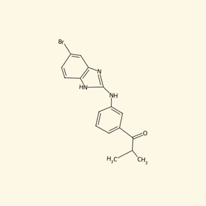 CC(C)C(=O)c1cccc(Nc2nc3cc(Br)ccc3[nH]2)c1